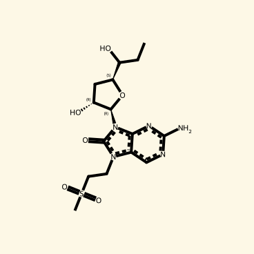 CCC(O)[C@@H]1C[C@@H](O)[C@H](n2c(=O)n(CCS(C)(=O)=O)c3cnc(N)nc32)O1